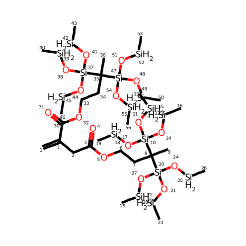 C=C(CC(=O)OCCC(C)([Si](O[SiH2]C)(O[SiH2]C)O[SiH2]C)[Si](O[SiH2]C)(O[SiH2]C)O[SiH2]C)C(=O)OCCC(C)([Si](O[SiH2]C)(O[SiH2]C)O[SiH2]C)[Si](O[SiH2]C)(O[SiH2]C)O[SiH2]C